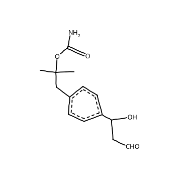 CC(C)(Cc1ccc(C(O)CC=O)cc1)OC(N)=O